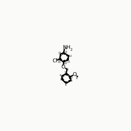 COc1ccccc1COc1ccc(N)cc1Cl